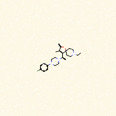 C=C1OC2(CCN(CC)CC2)C(C(=C)N2CCN(c3ccc(Cl)cc3)CC2)=C1C